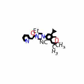 CCC1CN(c2cc(C3CC3)c3c(c2C#N)CC(C)(C)OC3)CCN1C(=O)Cc1ccccn1